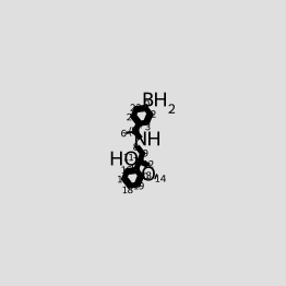 Bc1ccc([C@H](C)NCCC(O)(COC)c2ccccc2)cc1